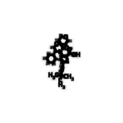 CC(C)(C)C#Cc1cc(N2C(=O)C3(CCOCC3)OC[C@H]2C2CCCCC2)c(C(=O)O)s1